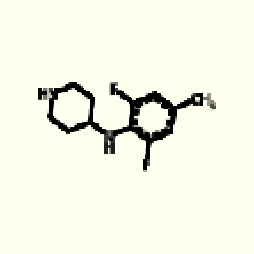 Cc1cc(F)c(NC2CCNCC2)c(F)c1